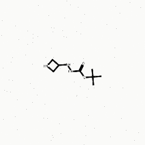 CC(C)(C)OC(=O)NNC1CNC1